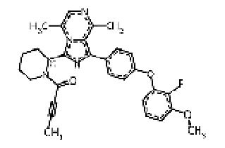 CC#CC(=O)N1CCCC[C@H]1c1nc(-c2ccc(Oc3cccc(OC)c3F)cc2)c2c(C)ncc(C)n12